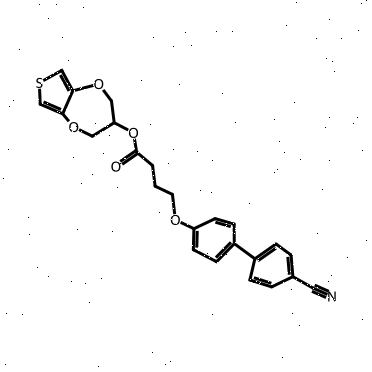 N#Cc1ccc(-c2ccc(OCCCC(=O)OC3COc4cscc4OC3)cc2)cc1